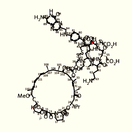 CO[C@H]1C[C@@H]2CC[C@@H](C)[C@@](O)(O2)C(=O)C(=O)N2CCCC[C@H]2C(=O)O[C@H](C(C)C)CC(=O)[C@H](C)/C=C(\C)[C@@H](OC(=O)OCCSSC[C@H](NC(=O)[C@H](CC(=O)O)NC(=O)[C@H](CC(=O)O)NC(=O)C(CCCN)NC[C@H](CC(=O)O)NC(=O)CC[C@H](NC(=O)c2ccc(NCc3cnc4cc(N)[nH]c(=O)c4n3)cc2)C(=O)O)C(=O)O)CC(=O)[C@H](C)C[C@H](C)/C=C/C=C/C=C/1C